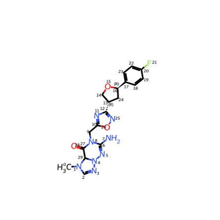 CN1C=NN2N=C(N)N(Cc3nc([C@@H]4CO[C@@H](c5ccc(F)cc5)C4)no3)C(=O)C12